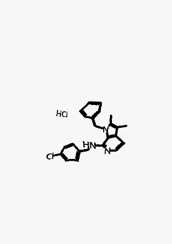 Cc1c(C)n(Cc2ccccc2)c2c(NCc3ccc(Cl)cc3)nccc12.Cl